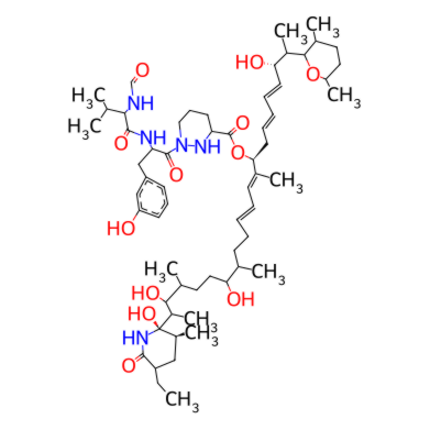 CCC1C[C@H](C)[C@@](O)(C(C)C(O)C(C)CCC(O)C(C)CC/C=C/C=C(\C)[C@H](C/C=C/C=C/[C@H](O)C(C)C2OC(C)CCC2C)OC(=O)C2CCCN(C(=O)C(Cc3cccc(O)c3)NC(=O)C(NC=O)C(C)C)N2)NC1=O